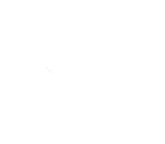 CCCC(=O)OCCCC(=O)C(CCOC(=O)CCC)C(=O)NC(CO)CO